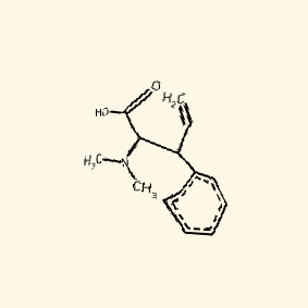 C=CC(c1ccccc1)C(C(=O)O)N(C)C